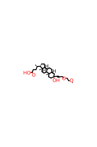 COCCOCC#C[C@]1(O)CC[C@]2(C)C3CC[C@]4(C)[C@@H]([C@H](C)CCC(=O)O)CC[C@H]4[C@@H]3CC[C@@H]2C1